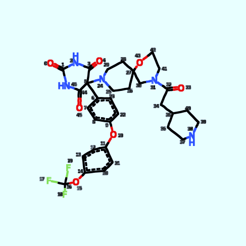 O=C1NC(=O)C(c2ccc(Oc3ccc(OC(F)(F)F)cc3)cc2)(N2CCC3(CC2)CN(C(=O)CC2CCNCC2)CCO3)C(=O)N1